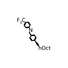 CCCCCCCCC#Cc1ccc(C[N]c2ccc(C(F)(F)F)cc2)cc1